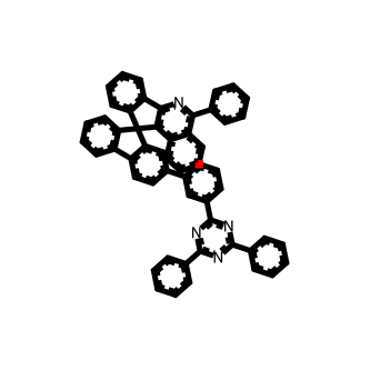 c1ccc(-c2nc(-c3ccccc3)nc(-c3cccc(-c4ccc5c(c4)C4(c6ccccc6-5)c5ccccc5-c5nc(-c6ccccc6)c6ccccc6c54)c3)n2)cc1